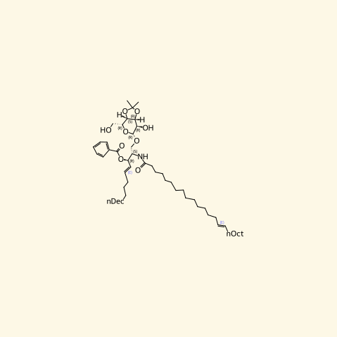 CCCCCCCC/C=C/CCCCCCCCCCCCCC(=O)N[C@@H](CO[C@@H]1O[C@H](CO)[C@@H]2OC(C)(C)O[C@@H]2[C@H]1O)[C@@H](/C=C/CCCCCCCCCCCCC)OC(=O)c1ccccc1